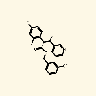 O=C(OCc1cccc(C(F)(F)F)c1)[C@H](c1ccc(F)cc1F)[C@@H](O)c1cccnc1